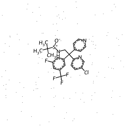 CC(C)(C)[S+]([O-])NCC(c1ccncc1)(c1cc(F)cc(C(F)(F)F)c1)c1ccc(Cl)cn1